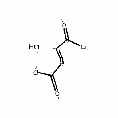 Cl.O=C(Cl)C=CC(=O)Cl